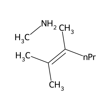 CCCC(C)=C(C)C.CN